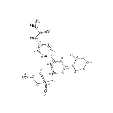 CCNC(=O)Nc1ccc(-c2nc(CS(=O)(=O)CCO)cc(N3CCOCC3C)n2)cc1